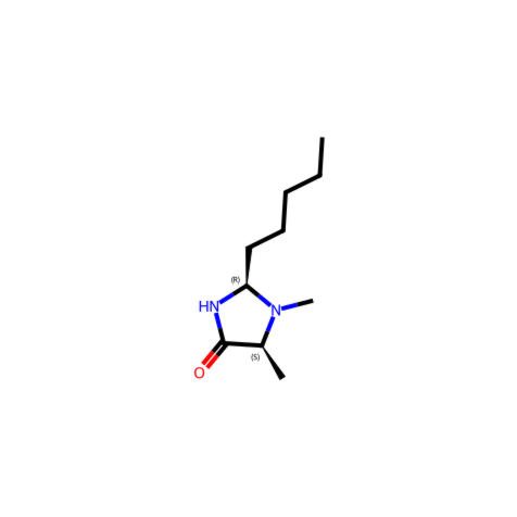 CCCCC[C@@H]1NC(=O)[C@H](C)N1C